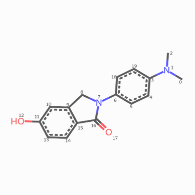 CN(C)c1ccc(N2Cc3cc(O)ccc3C2=O)cc1